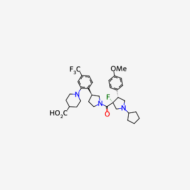 COc1ccc([C@@H]2CN(C3CCCC3)C[C@@]2(F)C(=O)N2CC[C@@H](c3ccc(C(F)(F)F)cc3N3CCC(C(=O)O)CC3)C2)cc1